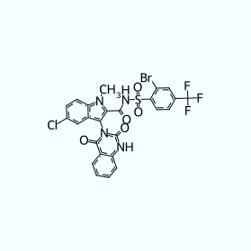 Cn1c(C(=O)NS(=O)(=O)c2ccc(C(F)(F)F)cc2Br)c(-n2c(=O)[nH]c3ccccc3c2=O)c2cc(Cl)ccc21